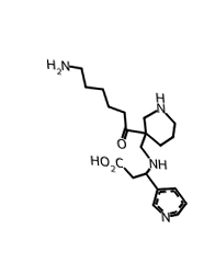 NCCCCCC(=O)C1(CNC(CC(=O)O)c2cccnc2)CCCNC1